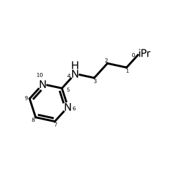 CC(C)CCCNc1ncccn1